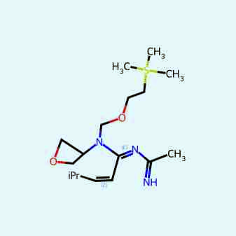 CC(=N)/N=C(\C=C/C(C)C)N(COCCS(C)(C)C)C1COC1